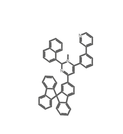 CN1C(c2cccc(-c3cccnc3)c2)=CC(c2ccc3c(c2)C2(c4ccccc4-c4ccccc42)c2ccccc2-3)=NC1c1cccc2ccccc12